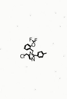 Cc1ccc(-c2ncc(CCl)n2Cc2ccccc2OC(F)F)cc1